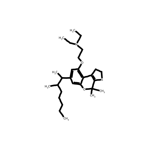 CCCCCC(C)C(C)c1cc(OCCN(CC)CC)c2c(c1)OC(C)(C)C1=C2CCS1